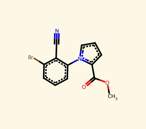 COC(=O)c1cccn1-c1cccc(Br)c1C#N